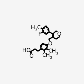 Cc1ccc(C2=C(COc3ccc(CCC(=O)O)c(C)c3C)CCOC2)cc1F